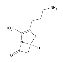 NCCCC1=C(C(=O)O)N2C(=O)C[C@@H]2S1